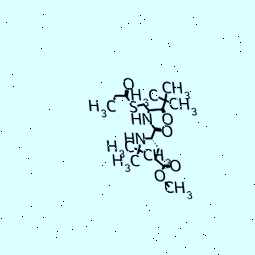 CCC(=O)SCC(NC(=O)[C@H](CCC(=O)OC)NC(C)(C)C)C(=O)C(C)(C)C